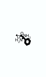 COC(=O)C(N)(N)c1ccccc1